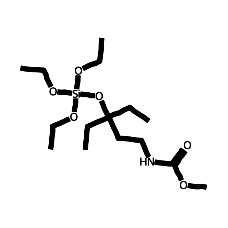 CCO[Si](OCC)(OCC)OC(CC)(CC)CCNC(=O)OC